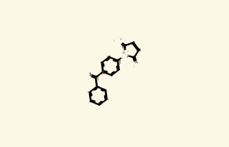 O=C(c1ccccc1)c1ccc(N2C(=O)C=CC2=O)cc1